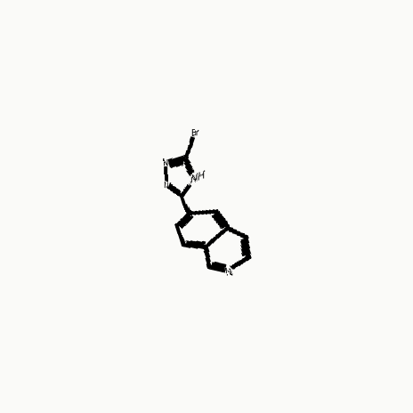 Brc1nnc(-c2ccc3cnccc3c2)[nH]1